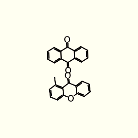 Cc1cccc2oc3ccccc3c(=O)c12.O=C1c2ccccc2C(=O)c2ccccc21